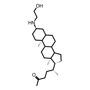 CC(=O)CC[C@@H](C)[C@H]1CCC2C3CCC4C[C@H](NCCO)CC[C@]4(C)C3CC[C@@]21C